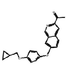 CC(=O)c1cc2ccc(Oc3ccc(OCC4CC4)cc3)cc2cn1